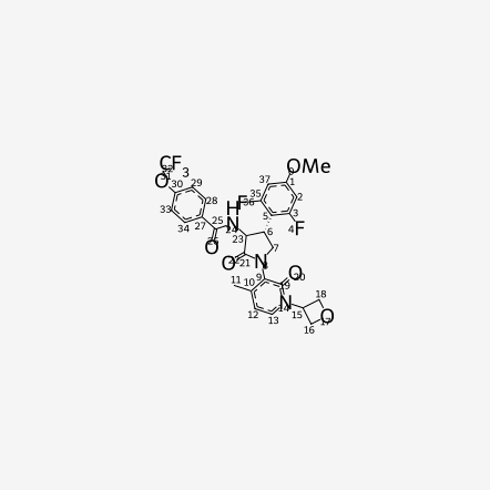 COc1cc(F)c([C@@H]2CN(c3c(C)ccn(C4COC4)c3=O)C(=O)C2NC(=O)c2ccc(OC(F)(F)F)cc2)c(F)c1